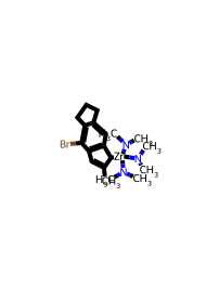 CC1=Cc2c(cc3c(c2Br)CCC3)[CH]1[Zr]([N](C)C)([N](C)C)[N](C)C